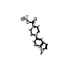 Cn1ccc2cc(N3CCN(C(=O)OC(C)(C)C)CC3)cnc21